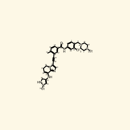 CCN1CCN(Cc2ccc(NC(=O)c3ccc(C)c(C#Cc4cnc5n4CCC=C5NC4=CN(CC)NC4)c3)cc2C(F)(F)F)CC1